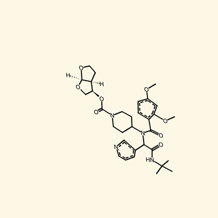 COc1ccc(C(=O)N(C2CCN(C(=O)O[C@H]3CO[C@H]4OCC[C@H]43)CC2)C(C(=O)NC(C)(C)C)c2cccnc2)c(OC)c1